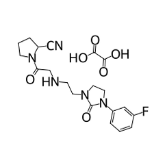 N#CC1CCCN1C(=O)CNCCN1CCN(c2cccc(F)c2)C1=O.O=C(O)C(=O)O